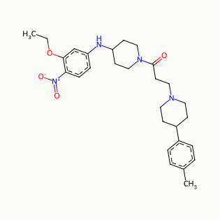 CCOc1cc(NC2CCN(C(=O)CCN3CCC(c4ccc(C)cc4)CC3)CC2)ccc1[N+](=O)[O-]